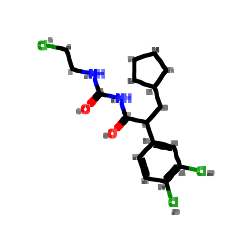 O=C(NCCCl)NC(=O)C(CC1CCCC1)c1ccc(Cl)c(Cl)c1